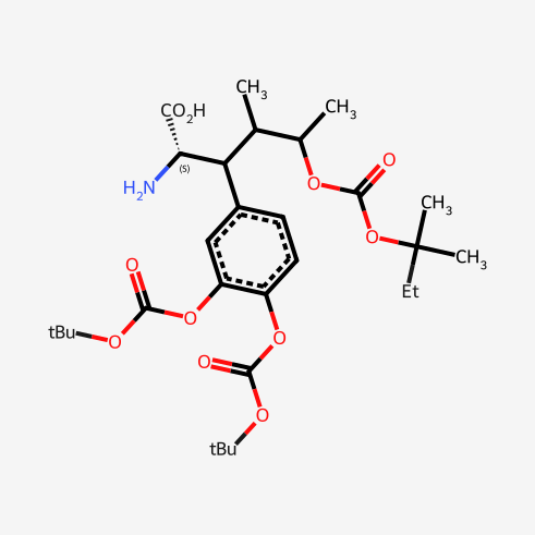 CCC(C)(C)OC(=O)OC(C)C(C)C(c1ccc(OC(=O)OC(C)(C)C)c(OC(=O)OC(C)(C)C)c1)[C@H](N)C(=O)O